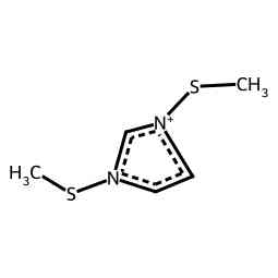 CSn1cc[n+](SC)c1